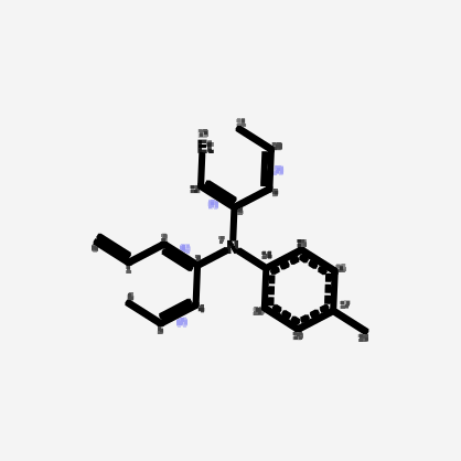 C=C/C=C(\C=C/C)N(C(/C=C\C)=C/CC)c1ccc(C)cc1